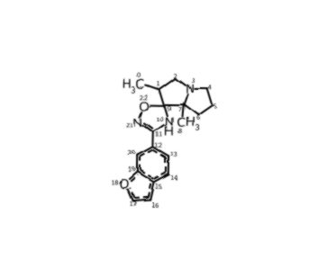 CC1CN2CCCC2(C)C12NC(c1ccc3ccoc3c1)=NO2